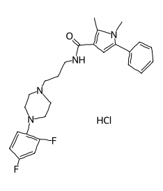 Cc1c(C(=O)NCCCN2CCN(c3ccc(F)cc3F)CC2)cc(-c2ccccc2)n1C.Cl